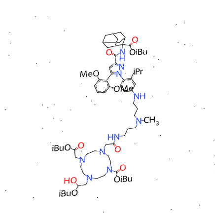 COc1cccc(OC)c1-c1cc(C(=O)NC2(C(=O)OCC(C)C)C3CC4CC(C3)CC2C4)nn1-c1ccc(NCCCN(C)CCCNC(=O)CN2CCN(CC(=O)OCC(C)C)CCN(CC(O)OCC(C)C)CCN(C(=O)OCC(C)C)CC2)cc1C(C)C